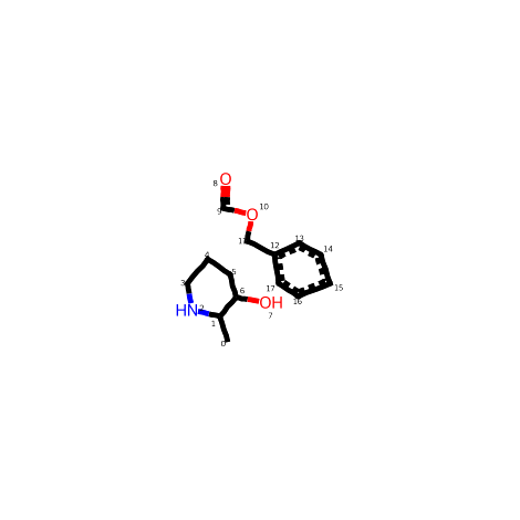 CC1NCCCC1O.O=COCc1ccccc1